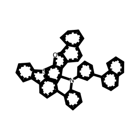 c1cc(-c2cccc3ccccc23)cc(N(c2ccccc2-c2ccc3c(c2)sc2ccccc23)c2cccc3oc4c5ccccc5ccc4c23)c1